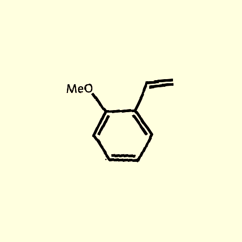 C=Cc1cc[c]cc1OC